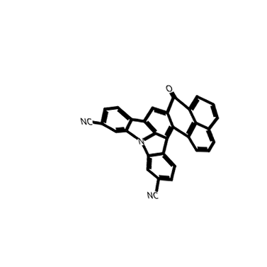 N#Cc1ccc2c3cc4c(=O)c5cccc6cccc(c65)c4c4c5ccc(C#N)cc5n(c2c1)c34